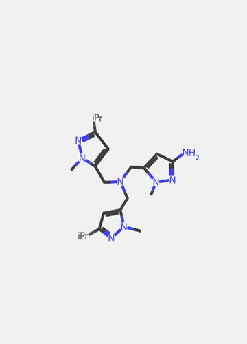 CC(C)c1cc(CN(Cc2cc(N)nn2C)Cc2cc(C(C)C)nn2C)n(C)n1